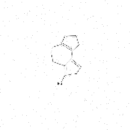 CCC1=[C]([Ru])CC=C1C1=C(C)C=CC1